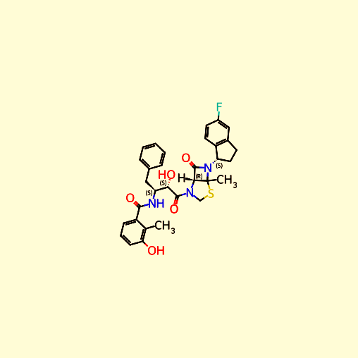 Cc1c(O)cccc1C(=O)N[C@@H](Cc1ccccc1)[C@H](O)C(=O)N1CSC2(C)[C@H]1C(=O)N2[C@H]1CCc2cc(F)ccc21